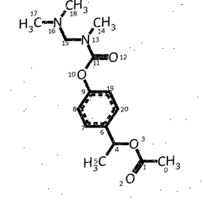 CC(=O)OC(C)c1ccc(OC(=O)N(C)CN(C)C)cc1